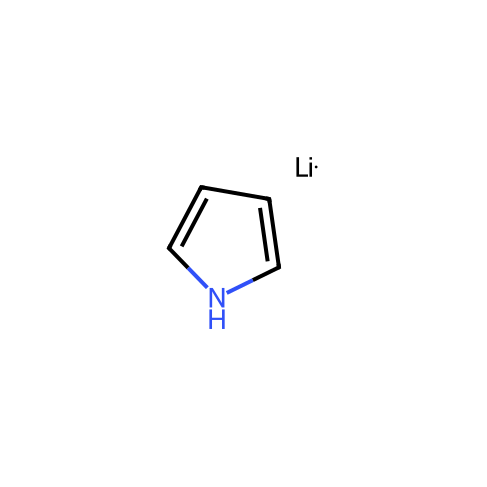 [Li].c1cc[nH]c1